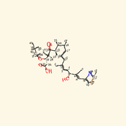 C/C(=C/C[C@H](O)/C(C)=C/c1csc(C)n1)C/C=C/[C@H](C)[C@H](C)[C@@H](C)C(=O)C(C)(C)[C@H](CC(=O)O)O[Si](C)(C)C(C)(C)C